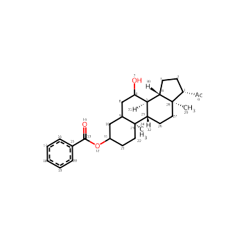 CC(=O)[C@H]1CC[C@H]2[C@@H]3C(O)CC4CC(OC(=O)c5ccccc5)CC[C@]4(C)[C@H]3CC[C@]12C